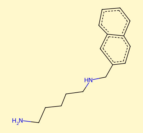 NCCCCCNCc1ccc2ccccc2c1